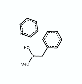 COB(O)Cc1ccccc1.c1ccncc1